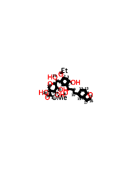 CCOc1cc(O)c(C(=O)CCc2ccc3occc3c2)cc1C(O)[C@H]1OC[C@@](O)(C(=O)OC)[C@@H](O)[C@@H]1O